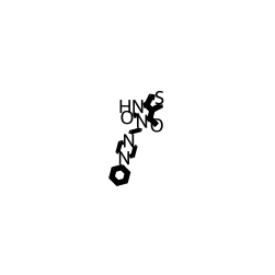 O=c1[nH]c2cscc2c(=O)n1CCN1CCN(c2ccccc2)CC1